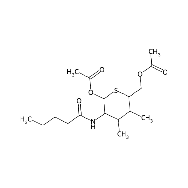 CCCCC(=O)NC1C(OC(C)=O)SC(COC(C)=O)C(C)C1C